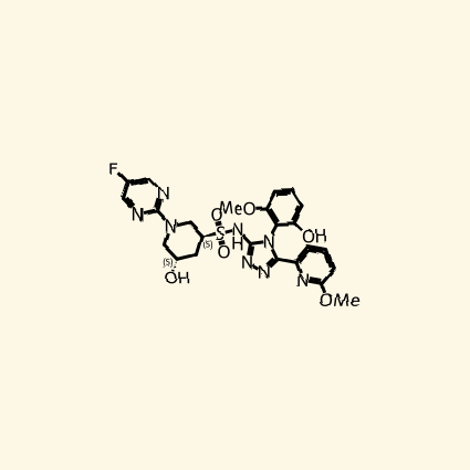 COC1=NC(c2nnc(NS(=O)(=O)[C@H]3C[C@H](O)CN(c4ncc(F)cn4)C3)n2-c2c(O)cccc2OC)=C=C=C1